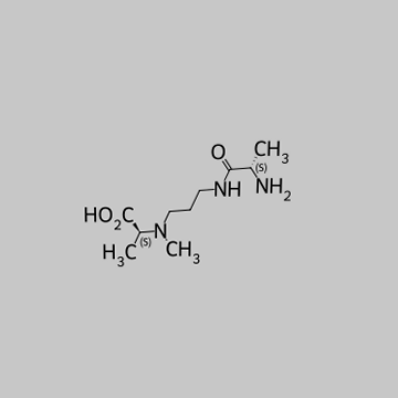 C[C@H](N)C(=O)NCCCN(C)[C@@H](C)C(=O)O